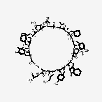 CCCC[C@H]1C(=O)N2C[C@H](O)C[C@@H]2C(=O)N[C@@H](CC(=O)O)C(=O)N[C@@H](C(C)C)C(=O)N(C)[C@@H](Cc2ccccc2)C(=O)N[C@@H](Cc2ccc(O)cc2)C(=O)N2C[C@@H](O)C[C@@H]2C(=O)N[C@@H](Cc2c[nH]c3ccccc23)C(=O)N[C@@H](Cc2ccc(O)cc2)C(=O)N[C@@H](CCCN)C(=O)N[C@H](C(=O)NCC(N)=O)CSCC(=O)N[C@@H](Cc2cc(F)c(F)c(F)c2)C(=O)N(C)[C@@H](Cc2ccccc2)C(=O)N1C